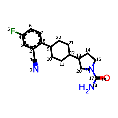 N#Cc1cc(F)ccc1C1CCC([C]2CCN(C(N)=O)C2)CC1